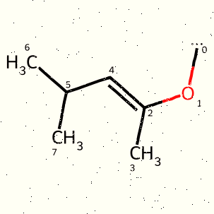 [C]OC(C)=CC(C)C